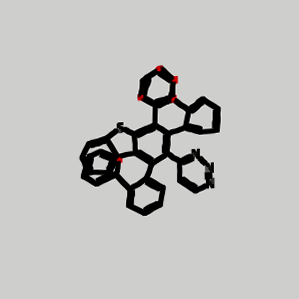 c1ccc(-c2ccccc2-c2c(-c3ccnnn3)c(-c3ccccc3-c3ccccc3)c3c(sc4ccccc43)c2-c2ccccc2)cc1